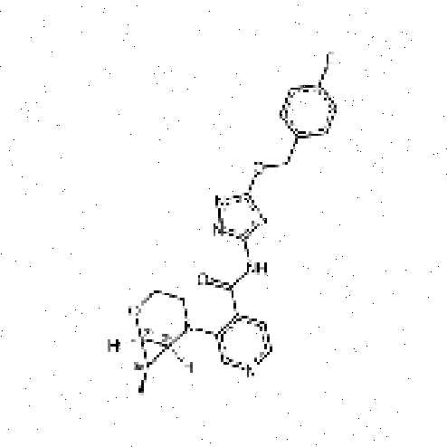 C[C@H]1[C@H]2OCCN(c3cnccc3C(=O)Nc3nnc(OCc4ccc(Cl)cc4)s3)[C@@H]12